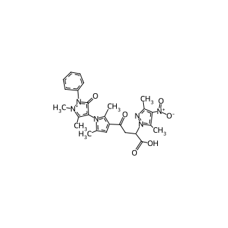 Cc1nn(C(CC(=O)c2cc(C)n(-c3c(C)n(C)n(-c4ccccc4)c3=O)c2C)C(=O)O)c(C)c1[N+](=O)[O-]